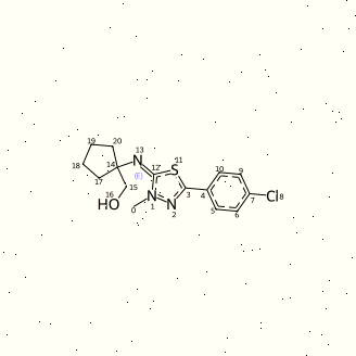 Cn1nc(-c2ccc(Cl)cc2)s/c1=N/C1(CO)CCCC1